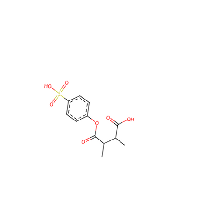 CC(C(=O)O)C(C)C(=O)Oc1ccc(S(=O)(=O)O)cc1